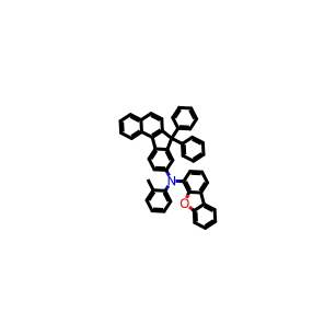 Cc1ccccc1N(c1ccc2c(c1)C(c1ccccc1)(c1ccccc1)c1ccc3ccccc3c1-2)c1cccc2c1oc1ccccc12